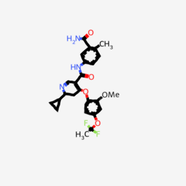 COc1cc(OC(C)(F)F)ccc1OC1=C(C(=O)Nc2ccc(C)c(C(N)=O)c2)C=NC(C2CC2)C1